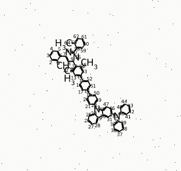 Cc1ccccc1-c1cc(-c2c(C)cc(-c3ccc(-c4ccc(-n5c6ccccc6c6cc(N(c7ccccc7)c7ccccc7)ccc65)cc4)cc3)cc2C)nc(-c2ccccc2C)n1